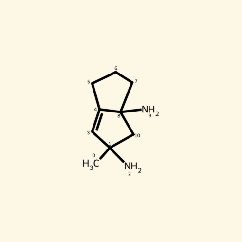 CC1(N)C=C2CCCC2(N)C1